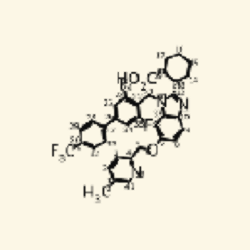 Cc1ccc(COc2ccc3nc([C@H]4CCCC[C@H]4C(=O)O)n(Cc4c(F)cc(-c5ccc(C(F)(F)F)cc5)cc4F)c3c2)nc1